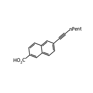 CCCCCC#Cc1ccc2cc(C(=O)O)ccc2c1